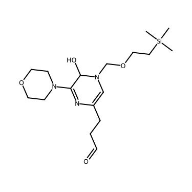 C[Si](C)(C)CCOCN1C=C(CCC=O)N=C(N2CCOCC2)C1O